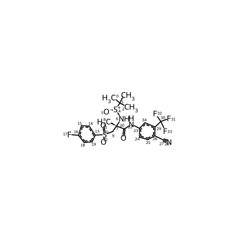 CC(C)(C)[S@@+]([O-])N[C@@](C)(CS(=O)(=O)c1ccc(F)cc1)C(=O)Nc1ccc(C#N)c(C(F)(F)F)c1